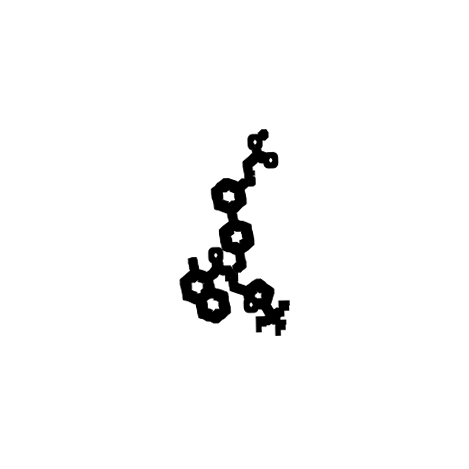 COC(=O)CSc1cccc(-c2ccc(CN(Cc3ccc(C(F)(F)F)o3)C(=O)c3c(C)ccc4ccccc34)cc2)c1